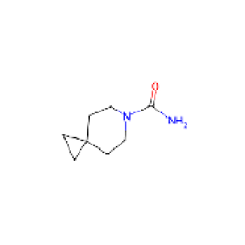 NC(=O)N1CCC2(CC1)CC2